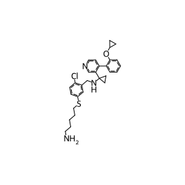 NCCCCCSc1ccc(Cl)c(CNC2(c3cnccc3-c3ccccc3OC3CC3)CC2)c1